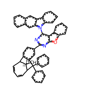 C[C@H]1C2C=CC=CC1C(c1ccccc1)(c1ccccc1)c1cc(-c3nc(-n4c5ccccc5c5cc6ccccc6cc54)c4c(n3)oc3ccccc34)ccc12